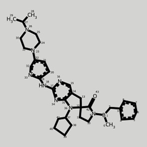 CB(Cc1ccccc1)N1CCC2(Cc3cnc(Nc4ccc(N5CCN(C(C)C)CC5)cn4)nc3N2C2CCCC2)C1=O